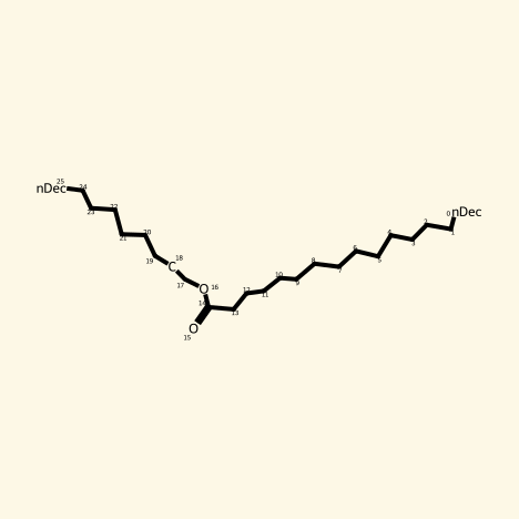 CCCCCCCCCCCCCCCCCCCCCCCC(=O)OCCCCCCCCCCCCCCCCCC